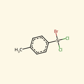 Cc1ccc([Si](Cl)(Cl)Br)cc1